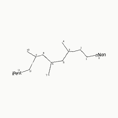 [CH2]CCCCCCCCCCC(C)CC(C)CC(C)CC(C)C[CH]C